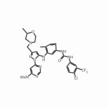 CNc1cc(-n2nc(CN3CCOC(C)C3)cc2Nc2cc(NC(=O)Nc3ccc(Cl)c(C(F)(F)F)c3)ccc2C)ncn1